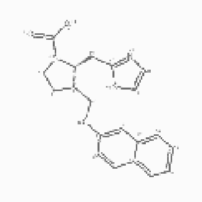 O=C(O)N1CCC(COc2ccc3ccccc3c2)[C@@H]1Cc1nccs1